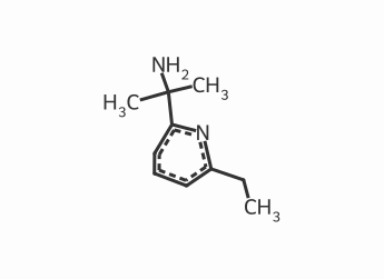 CCc1cccc(C(C)(C)N)n1